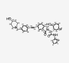 O=C(Nc1nccs1)[C@@H](c1cc(F)ccc1O)N1Cc2ccc(C#Cc3ccc(CN4CCC(O)CC4)cc3)cc2C1=O